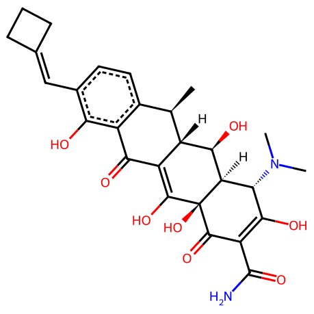 C[C@@H]1c2ccc(C=C3CCC3)c(O)c2C(=O)C2=C(O)[C@@]3(O)C(=O)C(C(N)=O)=C(O)[C@@H](N(C)C)[C@@H]3[C@H](O)[C@H]21